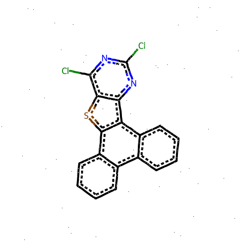 Clc1nc(Cl)c2sc3c4ccccc4c4ccccc4c3c2n1